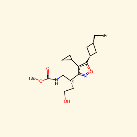 CC(C)C[C@H]1C[C@@H](c2onc([C@H](CCO)CNC(=O)OC(C)(C)C)c2C2CC2)C1